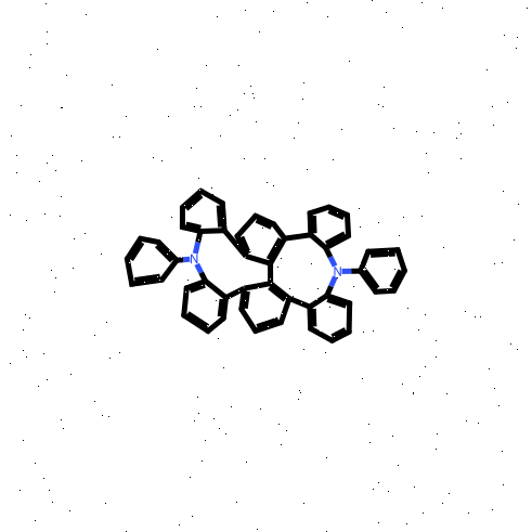 c1ccc(-n2c3ccccc3c3cccc4c5ccccc5n(-c5ccccc5)c5ccccc5c5cccc(c6ccccc62)c5c34)cc1